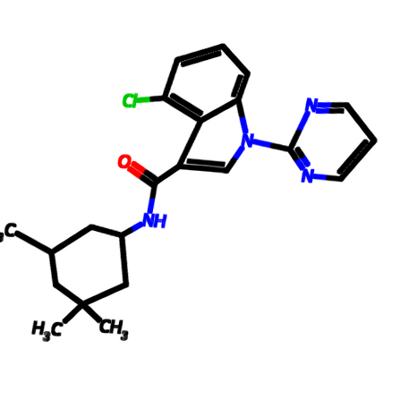 CC1CC(NC(=O)c2cn(-c3ncccn3)c3cccc(Cl)c23)CC(C)(C)C1